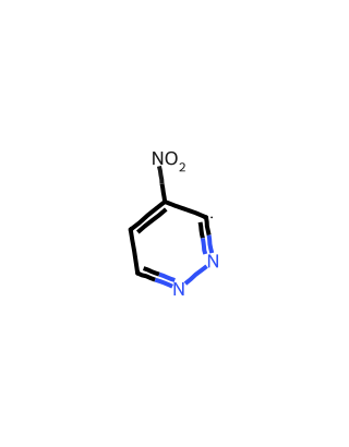 O=[N+]([O-])c1[c]nncc1